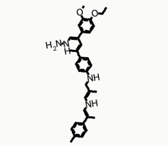 CCOc1ccc(C(/C=C(\C)c2ccc(NC/C(C)=C/N/C=C(\C)c3ccc(C)cc3)cc2)=C/NN)cc1OC